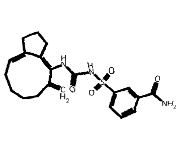 C=C1CCCC/C=C2/CCC/C2=C/1NC(=O)NS(=O)(=O)c1cccc(C(N)=O)c1